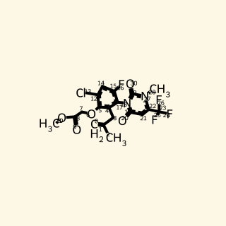 C=C(C)Cc1c(OCC(=O)OC)c(Cl)cc(F)c1-n1c(=O)cc(C(F)(F)F)n(C)c1=O